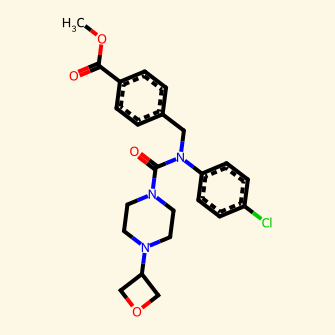 COC(=O)c1ccc(CN(C(=O)N2CCN(C3COC3)CC2)c2ccc(Cl)cc2)cc1